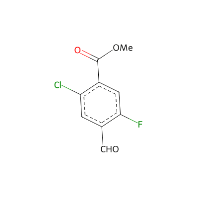 COC(=O)c1cc(F)c(C=O)cc1Cl